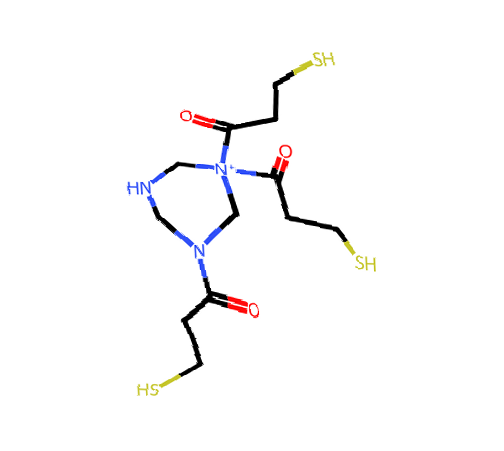 O=C(CCS)N1CNC[N+](C(=O)CCS)(C(=O)CCS)C1